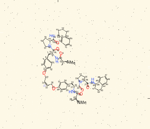 CN[C@@H](C)C(=O)N[C@@H](Cc1ccc(OC/C=C\COc2ccc(C[C@H](NC(=O)[C@H](C)NC)C(=O)N3CCC[C@H]3C(=O)N[C@@H]3CCCc4ccccc43)cc2)cc1)C(=O)N1CCCC1C(=O)N[C@@H]1CCCc2ccccc21